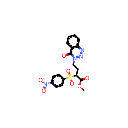 COC(=O)C(CCn1nnc2ccccc2c1=O)S(=O)(=O)c1ccc([N+](=O)[O-])cc1